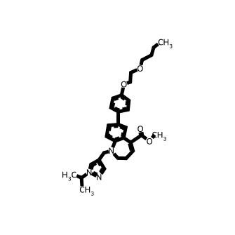 CCCCOCCOc1ccc(-c2ccc3c(c2)C(C(=O)OC)=CCCN3Cc2cnn(C(C)C)c2)cc1